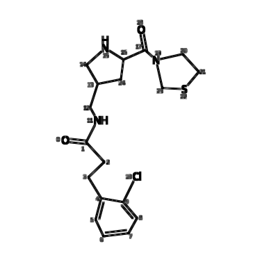 O=C(CCc1ccccc1Cl)NCC1CNC(C(=O)N2CCSC2)C1